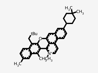 Cc1ccc2c(CC(C)(C)C)c3c(c(C)c2c1)-c1c2c(cc4cc(C5CCC(C)(C)CC5)ccc4c2cc[n+]1C)O3